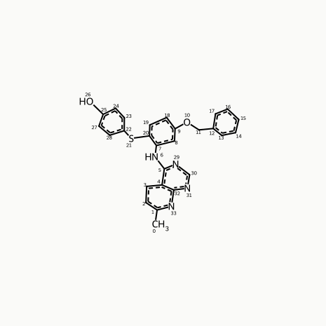 Cc1ccc2c(Nc3cc(OCc4ccccc4)ccc3Sc3ccc(O)cc3)ncnc2n1